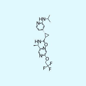 CC(C)Nc1cc([C@@H]2C[C@H]2C(=O)N[C@H](C)c2cnc(OCC(F)(F)F)cn2)ccn1